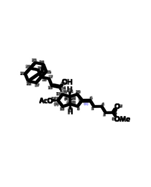 COC(=O)CCC/C=C1\C[C@@H]2C[C@@H](OC(C)=O)[C@H](C(O)=CCC34CC5CC(CC(C5)C3)C4)[C@@H]2C1